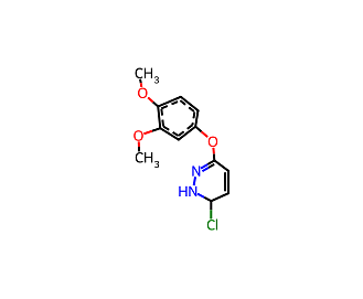 COc1ccc(OC2=NNC(Cl)C=C2)cc1OC